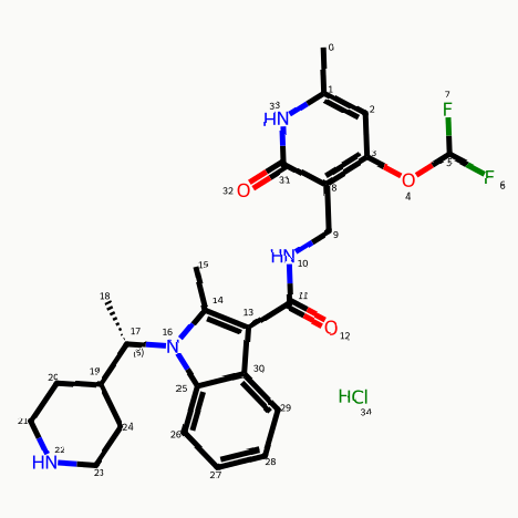 Cc1cc(OC(F)F)c(CNC(=O)c2c(C)n([C@@H](C)C3CCNCC3)c3ccccc23)c(=O)[nH]1.Cl